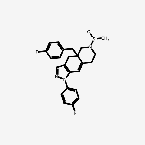 C[S+]([O-])N1CCC2=Cc3c(cnn3-c3ccc(F)cc3)CC2(Cc2ccc(F)cc2)C1